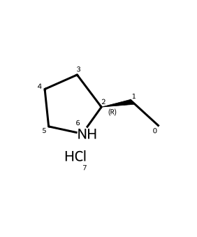 CC[C@@H]1CCCN1.Cl